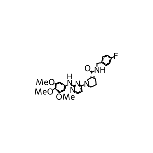 COc1cc(Nc2nccc(N3CCC[C@@H](C(=O)NCc4ccc(F)cc4)C3)n2)cc(OC)c1OC